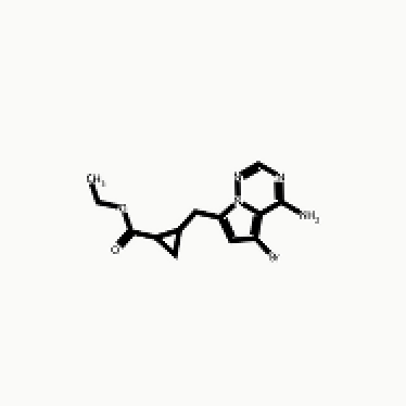 CCOC(=O)C1CC1Cc1cc(Br)c2c(N)ncnn12